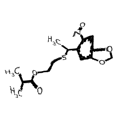 CC(C)C(=O)OCCSC(C)c1cc2c(cc1N=O)OCO2